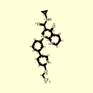 O=C(NC1CC1)c1cn(-c2cccc(-c3ccc(OCC(F)(F)F)nc3)c2)c2ncccc2c1=O